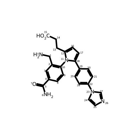 NCc1cc(C(N)=O)ccc1-n1c(CCC(=O)O)ccc1-c1ccc(-n2ccnc2)cc1